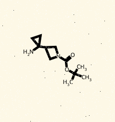 CC(C)(C)OC(=O)N1CC(C2(N)CC2)C1